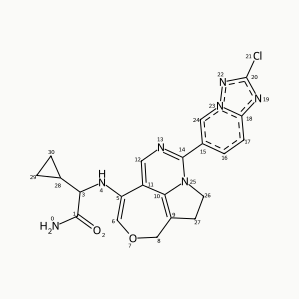 NC(=O)C(NC1=COCC2=C3C1=CN=C(c1ccc4nc(Cl)nn4c1)N3CC2)C1CC1